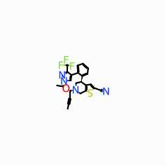 CC#CC(=O)N1Cc2sc(C#N)cc2[C@H](c2ccccc2-c2cn(CC)nc2C(F)(F)F)C1